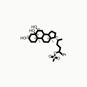 CC(C)C(CCC(C)[C@H]1CCC2C3C[C@@H](O)[C@@]4(O)C[C@@H](O)CC[C@]4(C)C3CC[C@@]21C)OS(C)(=O)=O